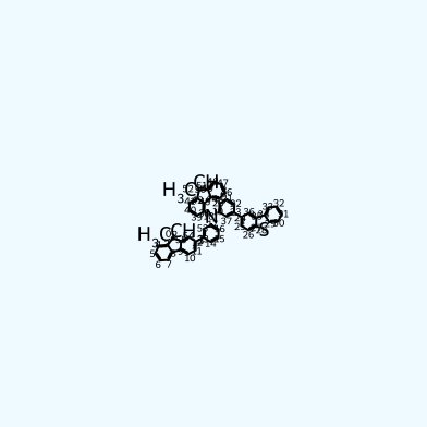 CC1(C)c2ccccc2-c2ccc(-c3cccc(N(c4cccc(-c5ccc6sc7ccccc7c6c5)c4)c4cccc5c4-c4ccccc4C5(C)C)c3)cc21